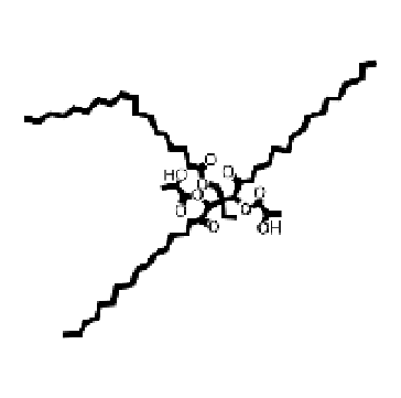 CCCCCCCC/C=C\CCCCCCCC(=O)OCC(CC)(C(OC(=O)C(C)O)C(=O)CCCCCCCCCCCCCCC)C(OC(=O)C(C)O)C(=O)CCCCCCCCCCCCCCC